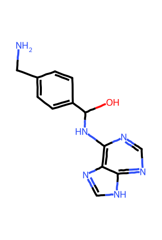 NCc1ccc(C(O)Nc2ncnc3[nH]cnc23)cc1